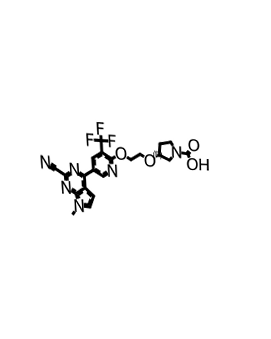 Cn1ccc2c(-c3cnc(OCCO[C@@H]4CCN(C(=O)O)C4)c(C(F)(F)F)c3)nc(C#N)nc21